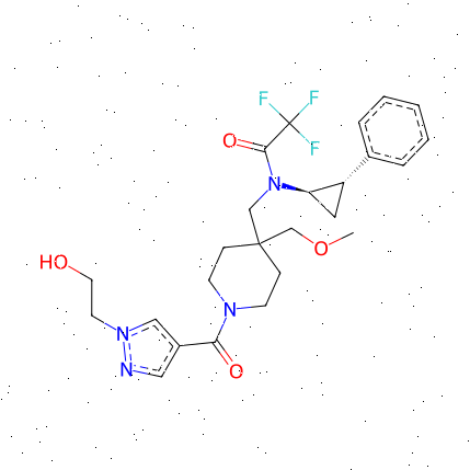 COCC1(CN(C(=O)C(F)(F)F)[C@@H]2C[C@H]2c2ccccc2)CCN(C(=O)c2cnn(CCO)c2)CC1